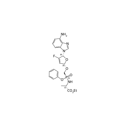 CCOC(=O)[C@H](C)N[P@](=O)(CO[C@@H]1C=C(F)[C@H](n2cnc3c(N)cccc32)O1)Oc1ccccc1